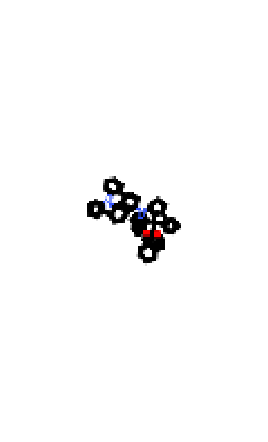 c1ccc(C2(c3ccccc3)c3ccccc3-c3cccc(N(c4ccc(-c5ccccc5-n5c6ccccc6c6ccccc65)cc4)c4cccc(-c5cccc6ccccc56)c4)c32)cc1